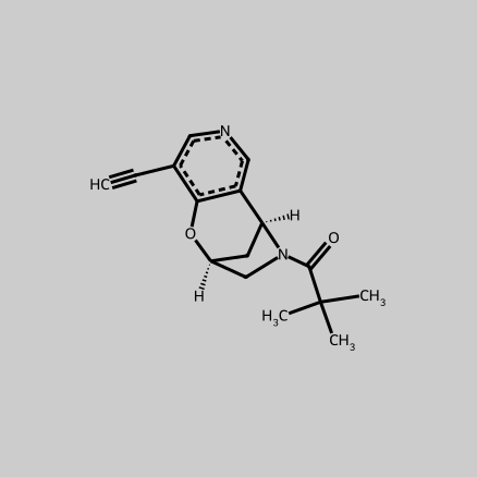 C#Cc1cncc2c1O[C@H]1C[C@@H]2N(C(=O)C(C)(C)C)C1